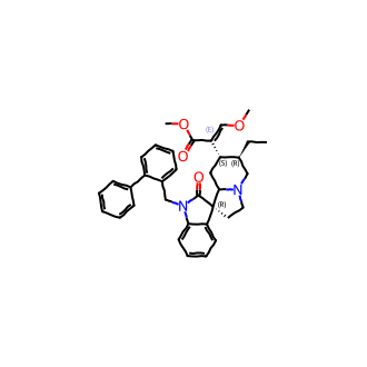 CC[C@H]1CN2CC[C@]3(C(=O)N(Cc4ccccc4-c4ccccc4)c4ccccc43)C2C[C@@H]1/C(=C\OC)C(=O)OC